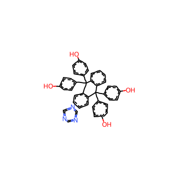 Oc1ccc(C2(c3ccc(O)cc3)c3ccccc3C(c3ccc(O)cc3)(c3ccc(O)cc3)c3ccccc32)cc1.c1ncncn1